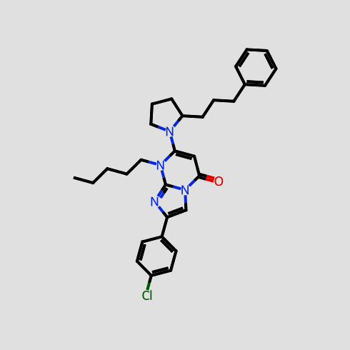 CCCCCn1c(N2CCCC2CCCc2ccccc2)cc(=O)n2cc(-c3ccc(Cl)cc3)nc12